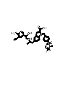 CC(Cc1ccc2c(c1)cc(C(=O)O)n2Cc1ccc(S(=O)(=O)N(C)C(F)(F)F)cc1)NCC(O)c1cnc(N)c(C#N)c1